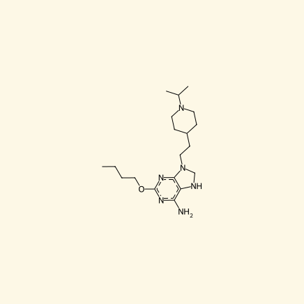 CCCCOc1nc(N)c2c(n1)N(CCC1CCN(C(C)C)CC1)CN2